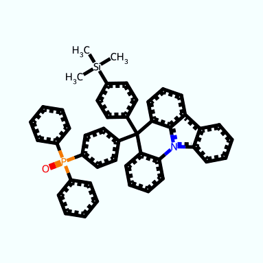 C[Si](C)(C)c1ccc(C2(c3ccc(P(=O)(c4ccccc4)c4ccccc4)cc3)c3ccccc3-n3c4ccccc4c4cccc2c43)cc1